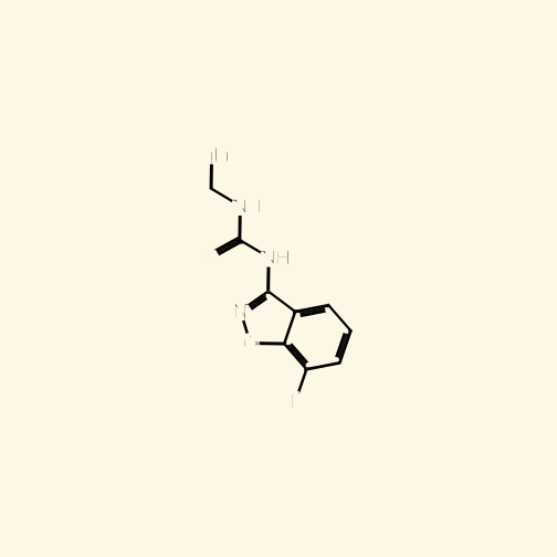 CC(C)CNC(=S)Nc1noc2c(F)cccc12